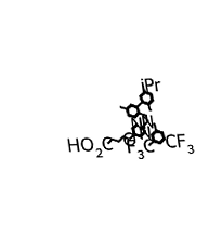 Cc1ccc(CN(Cc2cc(C(F)(F)F)cc(C(F)(F)F)c2)c2ncc(OCCCC(=O)O)cn2)c(-c2cc(C(C)C)ccc2C)c1